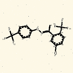 C/C(=N\Oc1ccc(C(F)(F)F)cc1)c1cc(Cl)ccc1C(F)(F)F